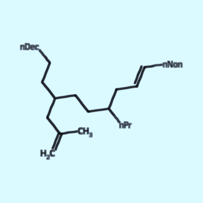 C=C(C)CC(CCCCCCCCCCCC)CCC(CC=CCCCCCCCCC)CCC